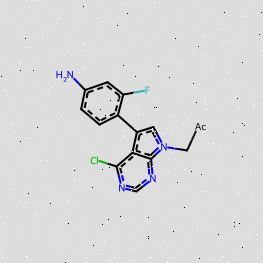 CC(=O)Cn1cc(-c2ccc(N)cc2F)c2c(Cl)ncnc21